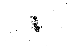 O=C(NC1[C@H]2CC(O)(c3cc(Cl)cc4[nH]ncc34)C[C@@H]12)c1cncc(Br)c1